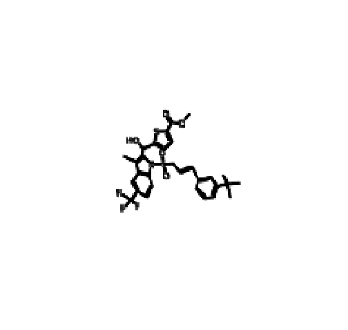 COC(=O)c1ccc(C(O)c2c(C)c3cc(C(F)(F)F)ccc3n2S(=O)(=O)CC=Cc2cccc(C(C)(C)C)c2)s1